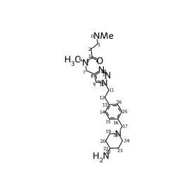 CNCCC(=O)N(C)Cc1cn(CCc2ccc(CN3CCC(N)CC3)cc2)nn1